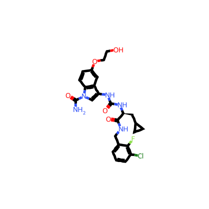 NC(=O)n1cc(NC(=O)N[C@@H](CC2CC2)C(=O)NCc2cccc(Cl)c2F)c2cc(OCCO)ccc21